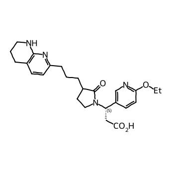 CCOc1ccc([C@H](CC(=O)O)N2CCC(CCCc3ccc4c(n3)NCCC4)C2=O)cn1